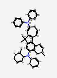 CC1C=Cc2c(c(N(C3C=CC=CC3)C3C=CCCC3C)cc3c2C2=C(C=C(N(c4ccccc4)c4ccccc4)CC=C2)C3(C)C)C1